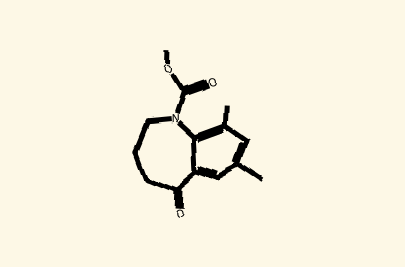 COC(=O)N1CCCC(=O)c2cc(C)cc(C)c21